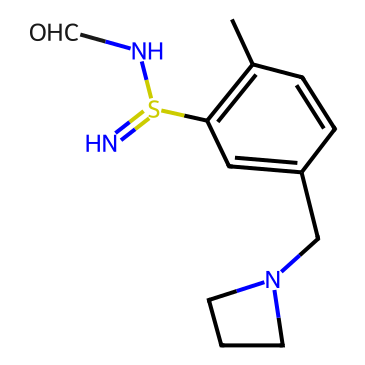 Cc1ccc(CN2CCC2)cc1S(=N)NC=O